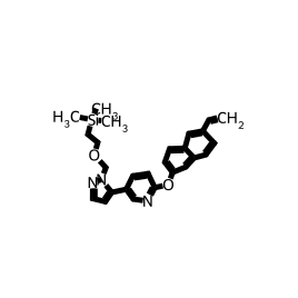 C=Cc1ccc2cc(Oc3ccc(-c4ccnn4COCC[Si](C)(C)C)cn3)ccc2c1